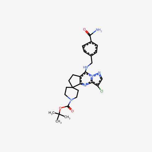 CC(C)(C)OC(=O)N1CCC2(CCc3c2nc2c(Cl)cnn2c3NCc2ccc(C(N)=O)cc2)CC1